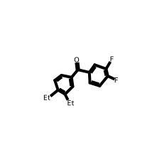 CCc1ccc(C(=O)c2ccc(F)c(F)c2)cc1CC